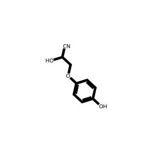 N#CC(O)COc1ccc(O)cc1